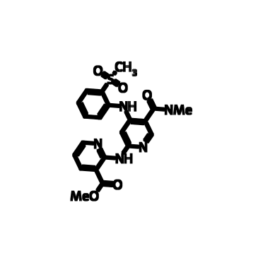 CNC(=O)c1cnc(Nc2ncccc2C(=O)OC)cc1Nc1ccccc1S(C)(=O)=O